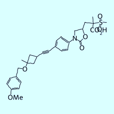 COc1ccc(COC2(C)CC(C#Cc3ccc(N4CC(CC(C)(C(=O)O)S(C)(=O)=O)OC4=O)cc3)C2)cc1